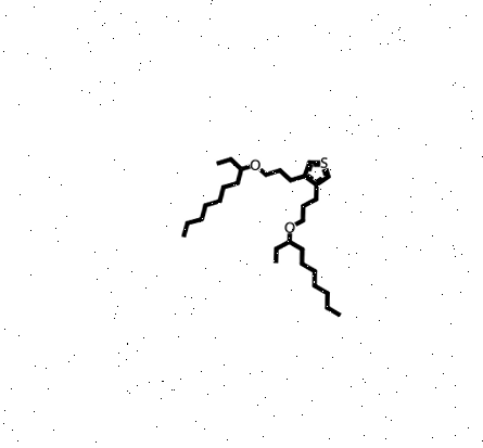 CCCCCCCC(CC)OCCCc1cscc1CCCOC(CC)CCCCCCC